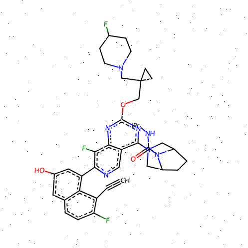 C#Cc1c(F)ccc2cc(O)cc(-c3ncc4c(N5CC6CCC(C5)N6C(=O)NC(C)C)nc(OCC5(CN6CCC(F)CC6)CC5)nc4c3F)c12